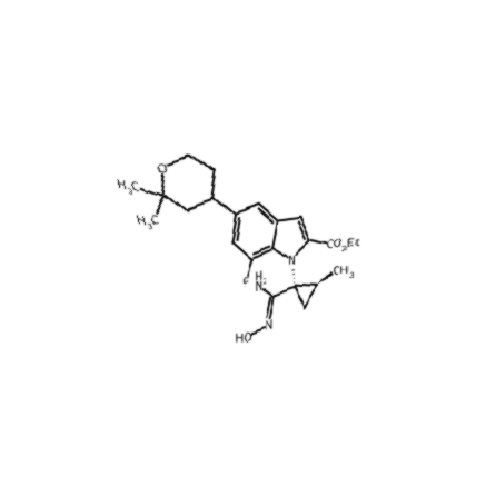 CCOC(=O)c1cc2cc(C3CCOC(C)(C)C3)cc(F)c2n1[C@@]1(C(N)=NO)C[C@@H]1C